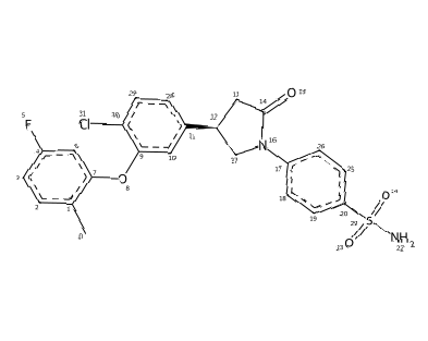 Cc1ccc(F)cc1Oc1cc([C@H]2CC(=O)N(c3ccc(S(N)(=O)=O)cc3)C2)ccc1Cl